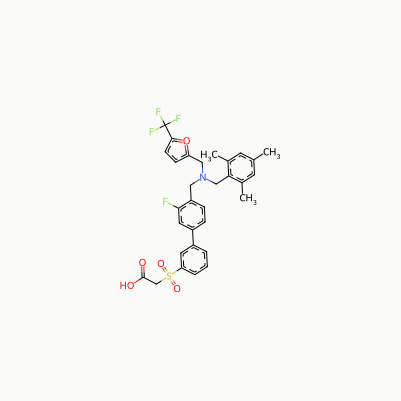 Cc1cc(C)c(CN(Cc2ccc(C(F)(F)F)o2)Cc2ccc(-c3cccc(S(=O)(=O)CC(=O)O)c3)cc2F)c(C)c1